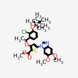 COC(=O)c1sc(-n2cnc3cc(OC)c(OC)cc32)cc1O[C@H](C)c1cccc(O[Si](C)(C)C(C)(C)C)c1Cl